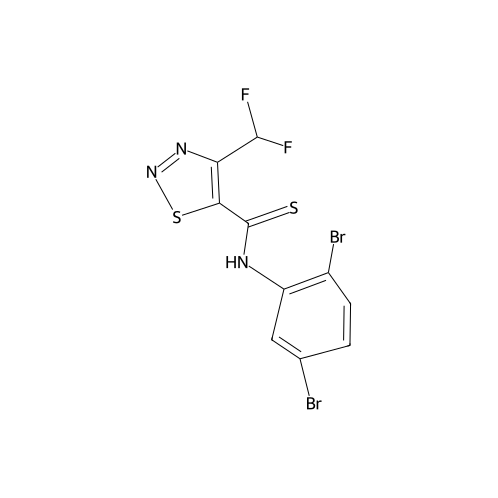 FC(F)c1nnsc1C(=S)Nc1cc(Br)ccc1Br